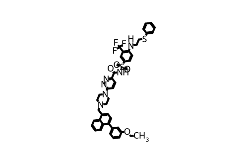 CCOc1cccc(-c2ccc(CN3CCN(c4ccc(C(=O)NS(=O)(=O)c5ccc(NCCSc6ccccc6)c(C(F)(F)F)c5)nn4)CC3)c3ccccc23)c1